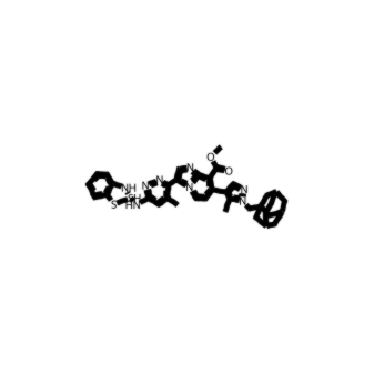 COC(=O)c1c(-c2cnn(CC34CC5CC(CC(C5)C3)C4)c2C)ccn2c(-c3nnc(N[SH]4Nc5ccccc5S4)cc3C)cnc12